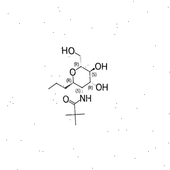 CCC[C@H]1O[C@H](CO)[C@@H](O)[C@H](O)[C@@H]1NC(=O)C(C)(C)C